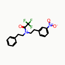 O=C(N(CCc1ccccc1)CCc1cccc([N+](=O)[O-])c1)C(F)(F)F